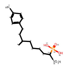 CCCc1ccc(CCC(C)CCCCC(P(=O)(O)O)S(=O)(=O)O)cc1